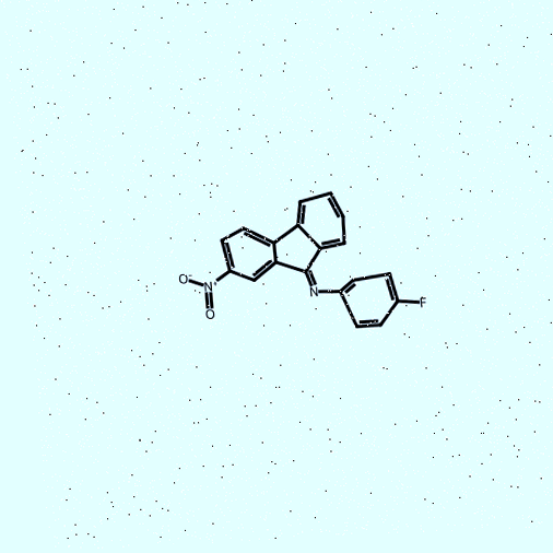 O=[N+]([O-])c1ccc2c(c1)/C(=N/c1ccc(F)cc1)c1ccccc1-2